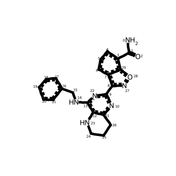 NC(=O)c1cccc2c(-c3nc4c(c(NCc5ccccc5)n3)NCCC4)noc12